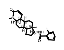 CN1C(=O)C=C[C@]2(C)[C@H]3CC[C@]4(C)[C@@H](NC(=O)c5ccccc5F)CC[C@H]4[C@@H]3CC[C@@H]12